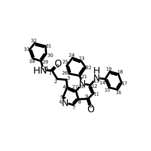 O=C(CCc1cncc2c(=O)cc(Nc3ccccc3)n(-c3ccccc3)c12)Nc1ccccc1